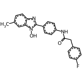 Cc1ccc2nc(-c3ccc(NC(=O)Cc4ccc(F)cc4)cc3)n(O)c2c1